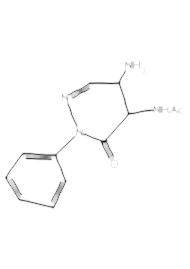 CC(=O)NC1C(=O)N(c2ccccc2)N=CC1N